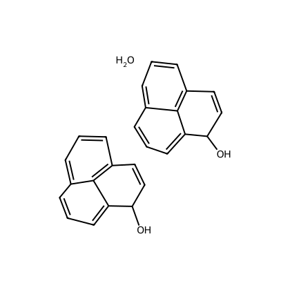 O.OC1C=Cc2cccc3cccc1c23.OC1C=Cc2cccc3cccc1c23